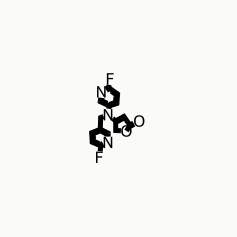 O=C1C=C(N(Cc2ccc(F)nc2)c2ccc(F)nc2)CO1